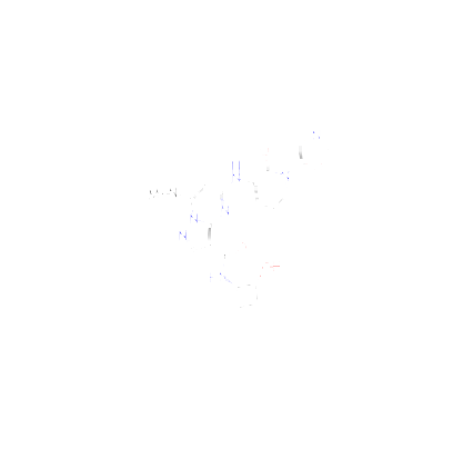 CNc1cc(Nc2cccn(-c3cnco3)c2=O)nc2c(C(=O)N[C@@H]3CC[C@@H]3O)cnn12